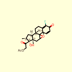 CC(=O)OCC(=O)[C@@]1(O)[C@@H](C)C[C@H]2[C@@H]3CCC4=C(F)C(=O)C=C[C@]4(C)C34OC4C[C@@]21C